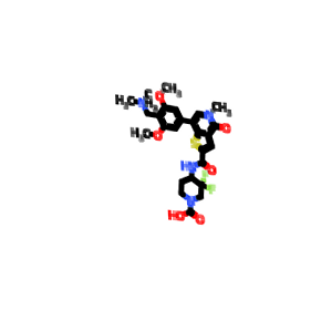 COc1cc(-c2cn(C)c(=O)c3cc(C(=O)NC4CCN(C(=O)O)CC4(F)F)sc23)cc(OC)c1CN(C)C